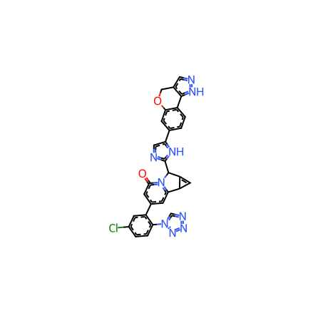 O=c1cc(-c2cc(Cl)ccc2-n2cnnn2)cc2n1C(c1ncc(-c3ccc4c(c3)OCc3cn[nH]c3-4)[nH]1)C1=CC12